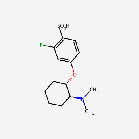 CN(C)[C@H]1CCCC[C@@H]1Oc1ccc(S(=O)(=O)O)c(F)c1